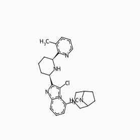 Cc1cccnc1[C@@H]1CCC[C@H](c2nc3cccc(N4CC5CCC(C4)N5C)n3c2Cl)N1